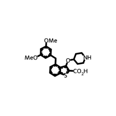 COc1cc(Cc2cccc3sc(C(=O)O)c(OC4CCNCC4)c23)cc(OC)c1